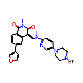 CCN1CCN(c2ccc(NC=C3C(=O)NC(=O)c4ccc(-c5ccoc5)cc43)nc2)CC1